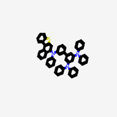 c1ccc(N(c2ccccc2)c2cc(-c3cccc(N(c4ccccc4)c4cc5sc6ccccc6c5c5ccccc45)c3)cc(N(c3ccccc3)c3ccccc3)c2)cc1